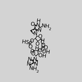 Nc1nc2c(ccn2[C@@H]2O[C@@H]3COP(=O)(O)OC4C(O)[C@H](n5cnc6c(N)ncnc65)O[C@@H]4COP(S)OC2C3O)c(=O)[nH]1